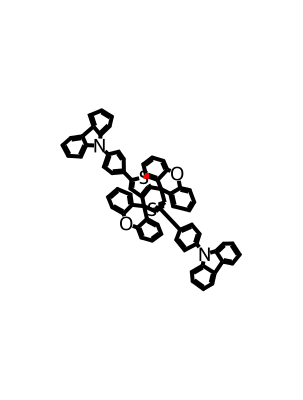 c1ccc2c(c1)Oc1ccccc1C21c2cc(-c3ccc(-n4c5ccccc5c5ccccc54)cc3)sc2C2(c3ccccc3Oc3ccccc32)c2cc(-c3ccc(-n4c5ccccc5c5ccccc54)cc3)sc21